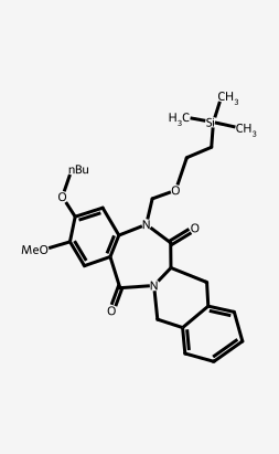 CCCCOc1cc2c(cc1OC)C(=O)N1Cc3ccccc3CC1C(=O)N2COCC[Si](C)(C)C